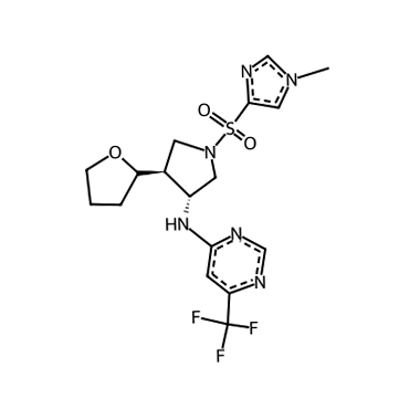 Cn1cnc(S(=O)(=O)N2C[C@H](Nc3cc(C(F)(F)F)ncn3)[C@@H](C3CCCO3)C2)c1